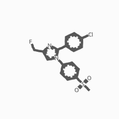 CS(=O)(=O)c1ccc(-n2cc(CF)nc2-c2ccc(Cl)cc2)cc1